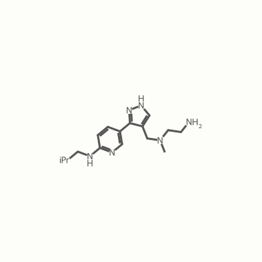 CC(C)CNc1ccc(-c2n[nH]cc2CN(C)CCN)cn1